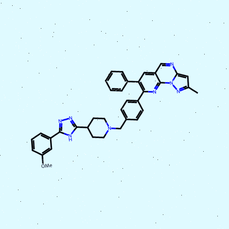 COc1cccc(-c2nnc(C3CCN(Cc4ccc(-c5nc6c(cnc7cc(C)nn76)cc5-c5ccccc5)cc4)CC3)[nH]2)c1